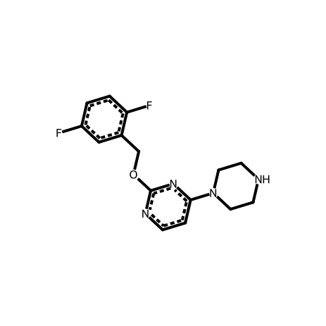 Fc1ccc(F)c(COc2nccc(N3CCNCC3)n2)c1